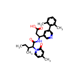 CCC(C)C(C(=O)NC(CC(=O)O)c1cncc(-c2c(C)cccc2C)c1)n1ccc(C)cc1=O